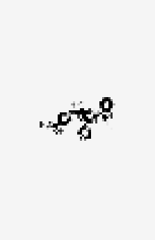 C=C(O)C1CCN(Cc2sc3c(N4CCOCC4)nc(-n4c(C)nc5ccccc54)nc3c2C)CC1